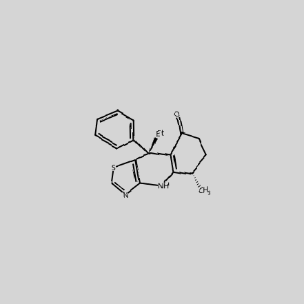 CC[C@@]1(c2ccccc2)C2=C(Nc3ncsc31)[C@@H](C)CCC2=O